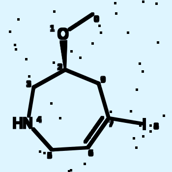 CO[C@@H]1CNCC=C(I)C1